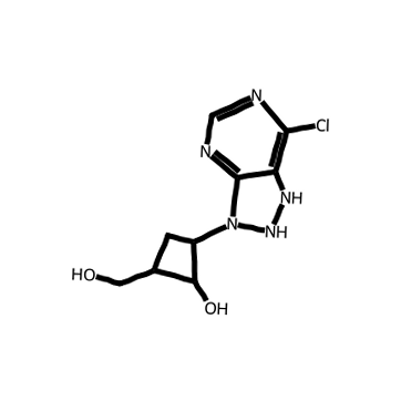 OCC1CC(N2NNc3c(Cl)ncnc32)C1O